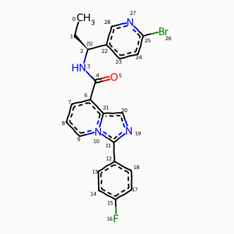 CC[C@H](NC(=O)c1cccn2c(-c3ccc(F)cc3)ncc12)c1ccc(Br)nc1